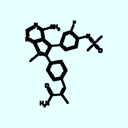 CC(=Cc1ccc(-c2c(-c3ccc(N=S(C)(C)=O)c(F)c3)c3c(N)ncnc3n2C)cc1)C(N)=O